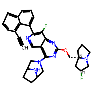 C#Cc1cccc2cccc(-c3ncc4c(N5CC6CCC(C5)N6)nc(OC[C@]56CCCN5C[C@@H](F)C6)nc4c3F)c12